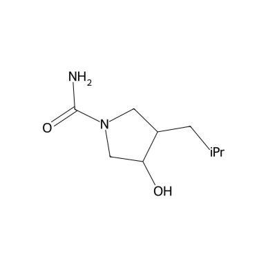 CC(C)CC1CN(C(N)=O)CC1O